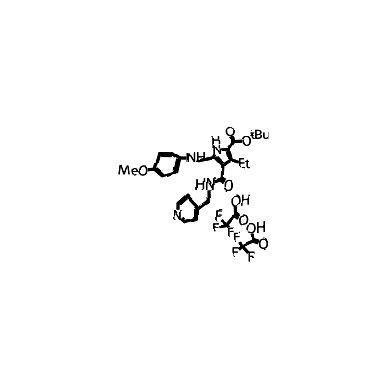 CCc1c(C(=O)OC(C)(C)C)[nH]c(CNc2ccc(OC)cc2)c1C(=O)NCc1ccncc1.O=C(O)C(F)(F)F.O=C(O)C(F)(F)F